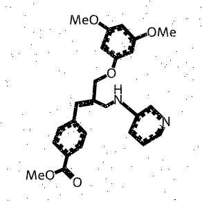 COC(=O)c1ccc(/C=C(\CNc2cccnc2)COc2cc(OC)cc(OC)c2)cc1